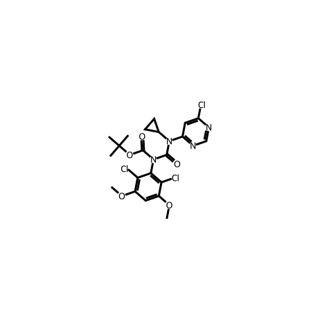 COc1cc(OC)c(Cl)c(N(C(=O)OC(C)(C)C)C(=O)N(c2cc(Cl)ncn2)C2CC2)c1Cl